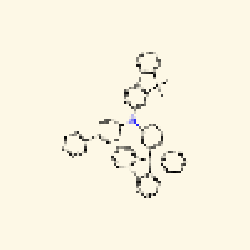 CC1(C)c2ccccc2-c2ccc(N(C3=CC(C4(c5ccccc5)c5ccccc5-c5ccccc54)=CCC3)C3C=CC(c4ccccc4)=CC3)cc21